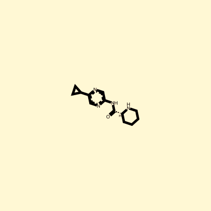 O=C(Nc1cnc(C2CC2)cn1)[C@H]1CCCCN1